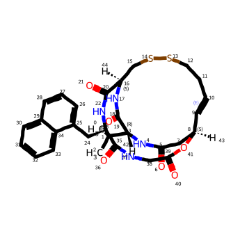 CC(C)[C@H]1NC(=O)C[C@H]2/C=C/CCSSC[C@@H](NC1=O)C(=O)N[C@H](Cc1cccc3ccccc13)C(=O)NCC(=O)O2